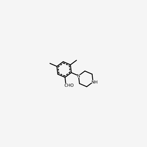 Cc1cc(C)c(N2CCNCC2)c(C=O)c1